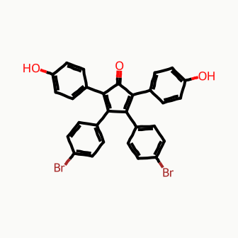 O=C1C(c2ccc(O)cc2)=C(c2ccc(Br)cc2)C(c2ccc(Br)cc2)=C1c1ccc(O)cc1